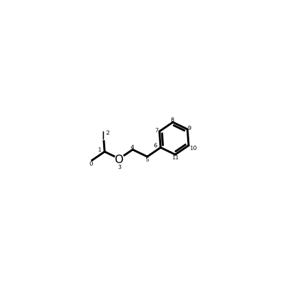 CC(I)OCCc1ccccc1